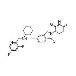 C=C1CCC(N2Cc3cc(C[C@H]4CCCC[C@@H]4NCc4ncc(F)cc4F)ccc3C2=O)C(=O)N1